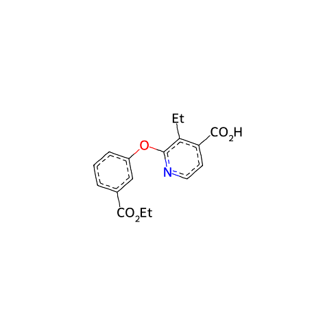 CCOC(=O)c1cccc(Oc2nccc(C(=O)O)c2CC)c1